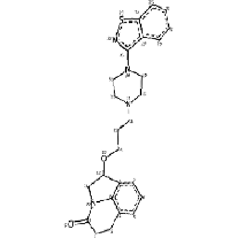 O=C1CCc2cccc3c2N1CC3OCCCN1CCN(c2nsc3ccccc23)CC1